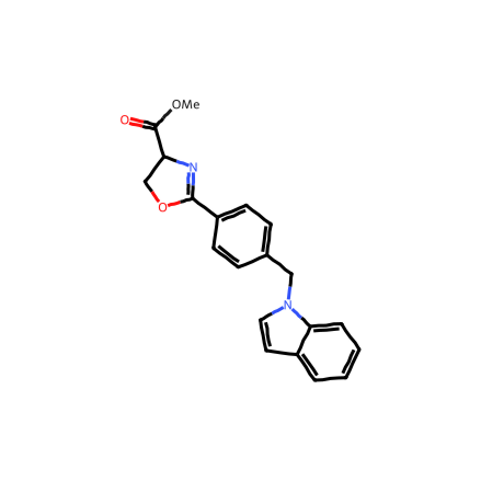 COC(=O)C1COC(c2ccc(Cn3ccc4ccccc43)cc2)=N1